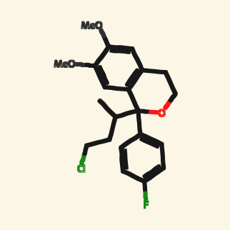 COc1cc2c(cc1OC)C(c1ccc(F)cc1)(C(C)CCCl)OCC2